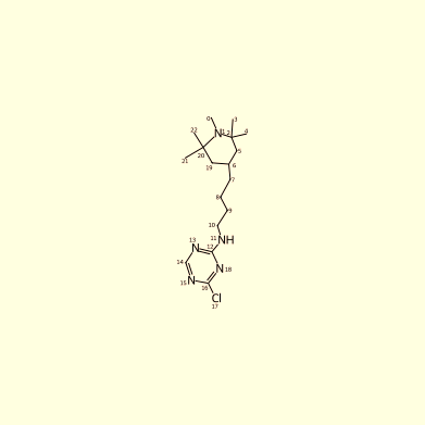 CN1C(C)(C)CC(CCCCNc2ncnc(Cl)n2)CC1(C)C